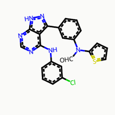 O=CN(c1cccc(-c2n[nH]c3ncnc(Nc4cccc(Cl)c4)c23)c1)c1cccs1